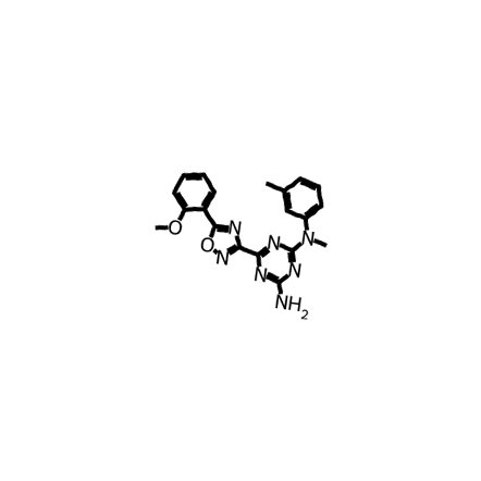 COc1ccccc1-c1nc(-c2nc(N)nc(N(C)c3cccc(C)c3)n2)no1